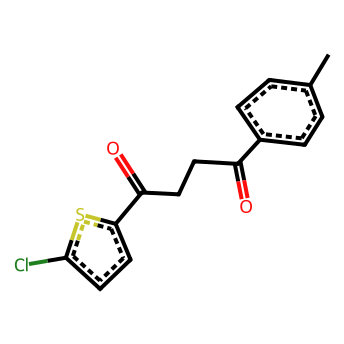 Cc1ccc(C(=O)CCC(=O)c2ccc(Cl)s2)cc1